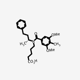 COc1cc(C(=O)N(CCCCC(=O)O)[C@H](C)CCc2ccccc2)cc(OC)c1C